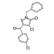 O=C(c1ccc(Cl)cc1)c1sn(Cc2ccccc2)c(=O)c1Cl